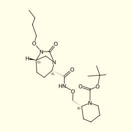 CCCCON1C(=O)N2C[C@@H]1CC[C@H]2C(=O)NOC[C@H]1CCCCN1C(=O)OC(C)(C)C